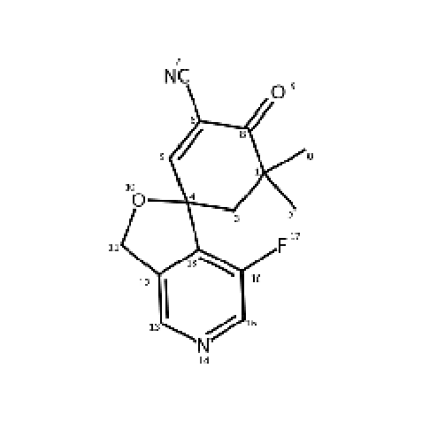 CC1(C)CC2(C=C(C#N)C1=O)OCc1cncc(F)c12